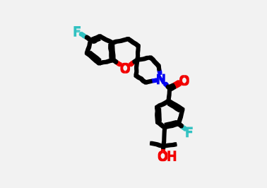 CC(C)(O)c1ccc(C(=O)N2CCC3(CCc4cc(F)ccc4O3)CC2)cc1F